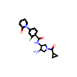 NC1CN(C(=O)C2CC2)CC1NC(=O)c1ccc(-n2ccccc2=O)cc1F